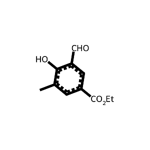 CCOC(=O)c1cc(C)c(O)c(C=O)c1